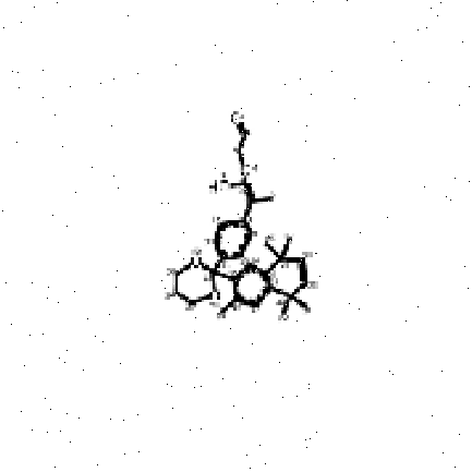 C/C(=C(/O)CCC=O)c1ccc(C2(c3cc4c(cc3C)C(C)(C)C=CC4(C)C)OCCCO2)cc1